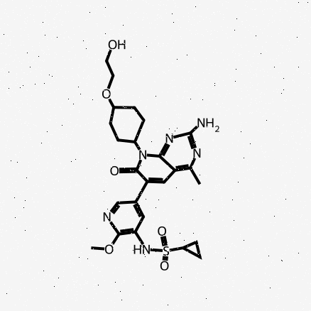 COc1ncc(-c2cc3c(C)nc(N)nc3n(C3CCC(OCCO)CC3)c2=O)cc1NS(=O)(=O)C1CC1